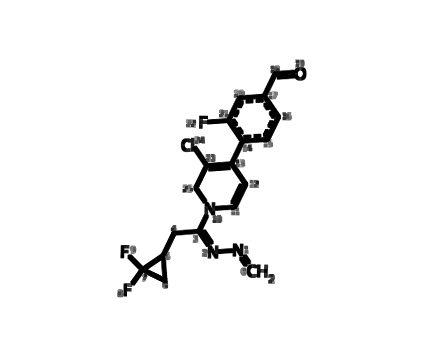 C=N/N=C(/CC1CC1(F)F)N1C=CC(c2ccc(C=O)cc2F)=C(Cl)C1